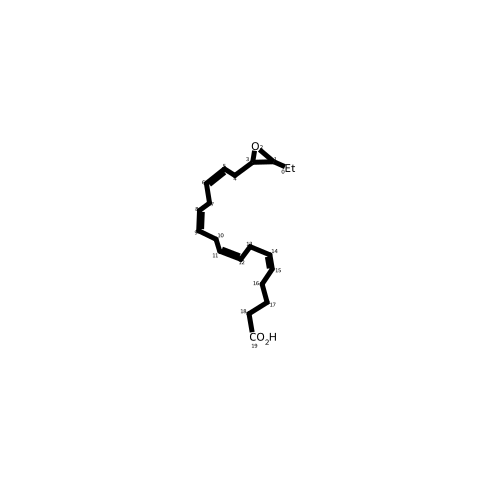 CCC1OC1C/C=C\C/C=C\C/C=C\C/C=C\CCCC(=O)O